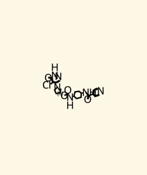 O=C(NC1CCC(NC(=O)c2ccncc2)CC1)O[C@@H]1CCN(c2cn[nH]c(=O)c2Cl)C1